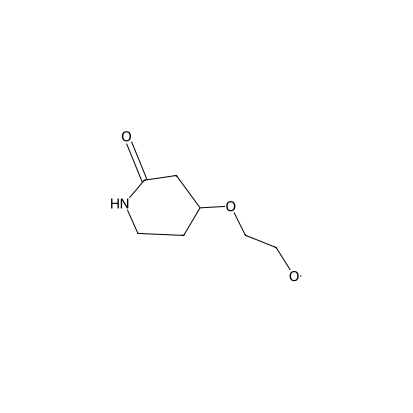 [O]CCOC1CCNC(=O)C1